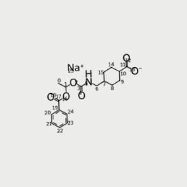 CC(OC(=O)NCC1CCC(C(=O)[O-])CC1)OC(=O)c1ccccc1.[Na+]